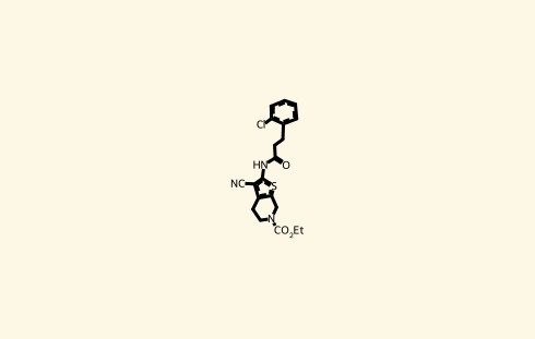 CCOC(=O)N1CCc2c(sc(NC(=O)CCc3ccccc3Cl)c2C#N)C1